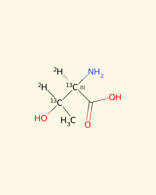 [2H][13C](C)(O)[13C@@]([2H])(N)C(=O)O